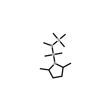 CC1CCC(C)N1[Si](C)(C)N(C)[Si](C)(C)C